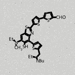 CCCCC(CC)Cc1ccc(-c2c(S)c(N(C)CC)cc3sc(-c4ccc(-c5ccc(C=O)s5)s4)nc23)s1